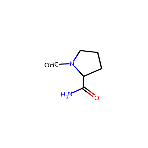 NC(=O)C1CCCN1C=O